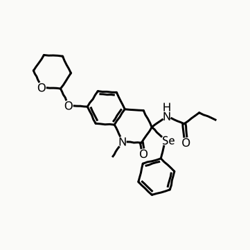 CCC(=O)NC1([Se]c2ccccc2)Cc2ccc(OC3CCCCO3)cc2N(C)C1=O